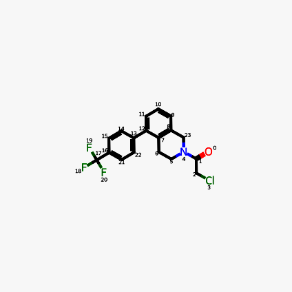 O=C(CCl)N1CCc2c(cccc2-c2ccc(C(F)(F)F)cc2)C1